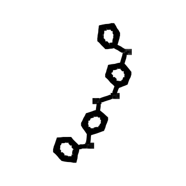 c1ccc(Nc2ccc(NNc3ccc(Nc4ccccc4)cc3)cc2)cc1